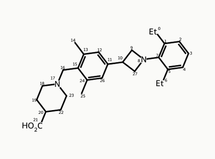 CCc1cccc(CC)c1N1CC(c2cc(C)c(CN3CCC(C(=O)O)CC3)c(C)c2)C1